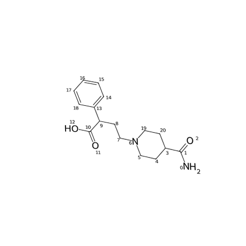 NC(=O)C1CCN(CCC(C(=O)O)c2ccccc2)CC1